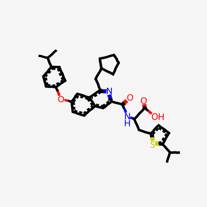 CC(C)c1ccc(Oc2ccc3cc(C(=O)NC(Cc4ccc(C(C)C)s4)C(=O)O)nc(CC4CCCC4)c3c2)cc1